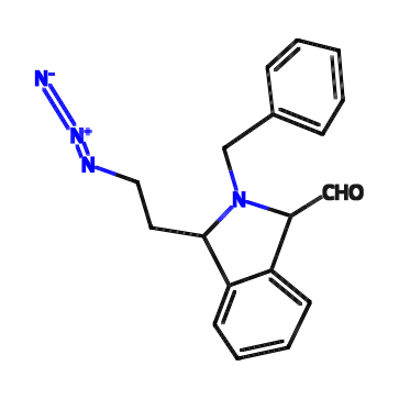 [N-]=[N+]=NCCC1c2ccccc2C(C=O)N1Cc1ccccc1